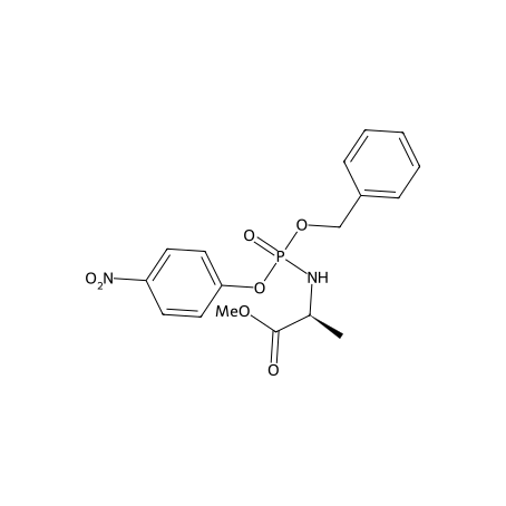 COC(=O)[C@H](C)NP(=O)(OCc1ccccc1)Oc1ccc([N+](=O)[O-])cc1